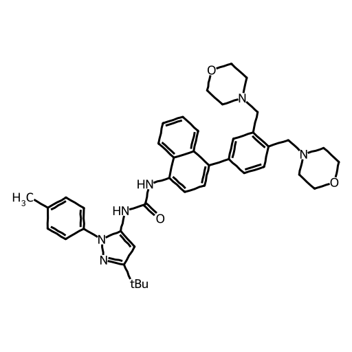 Cc1ccc(-n2nc(C(C)(C)C)cc2NC(=O)Nc2ccc(-c3ccc(CN4CCOCC4)c(CN4CCOCC4)c3)c3ccccc23)cc1